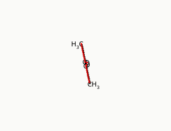 CCCCC=CC=CC=CCCCCCCCCOC(=O)CC(=O)OCCCCCCCCC=CC=CC=CCCCC